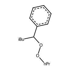 CCCOOC(c1ccccc1)C(C)CC